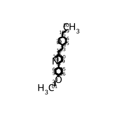 CCCOc1ccc(-c2ccc(CCC3CCC(CCC)CC3)cn2)cc1